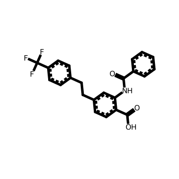 O=C(Nc1cc(CCc2ccc(C(F)(F)F)cc2)ccc1C(=O)O)c1ccccc1